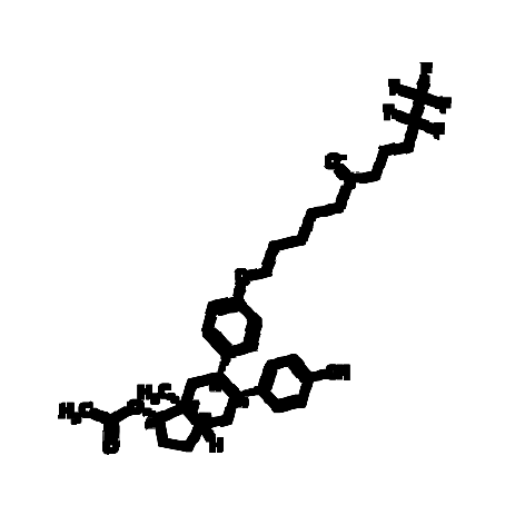 CC(=O)O[C@H]1CC[C@H]2C[C@@H](c3ccc(O)cc3)[C@@H](c3ccc(OCCCCC[S+]([O-])CCCC(F)(F)C(F)(F)F)cc3)C[C@@]21C